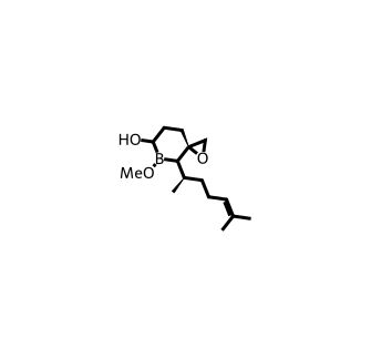 COB1C(O)CC[C@]2(CO2)C1[C@H](C)CCC=C(C)C